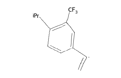 C=[C]c1ccc(C(C)C)c(C(F)(F)F)c1